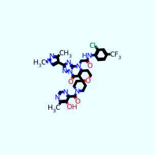 Cc1nn(C)cc1-c1nc2n(CC(=O)Nc3ccc(C(F)(F)F)cc3Cl)c3c(c(=O)n2n1)C1(CCN(C(=O)c2ncnc(C)c2O)CC1)OCC3